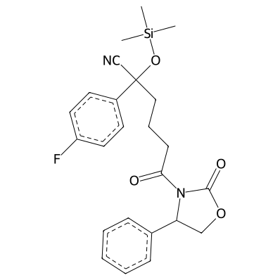 C[Si](C)(C)OC(C#N)(CCCC(=O)N1C(=O)OCC1c1ccccc1)c1ccc(F)cc1